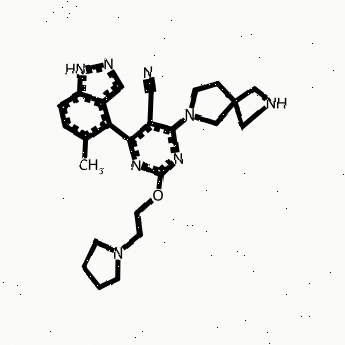 Cc1ccc2[nH]ncc2c1-c1nc(OCCN2CCCC2)nc(N2CCC3(CNC3)C2)c1C#N